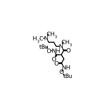 CN(C)CCCN(C)C(=O)C(CC(=O)NOC(C)(C)C)C(=O)NOC(C)(C)C